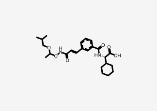 CC(C)COC(C)ONC(=O)/C=C/c1cccc(C(=O)N[C@H](C(=O)O)C2CCCCC2)c1